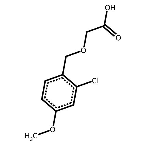 COc1ccc(COCC(=O)O)c(Cl)c1